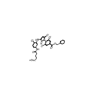 CCCCCCCCCCCCCC(=O)Nc1ccc(Cl)c(Nc2cc(=O)n(-c3c(Cl)cc(C(=O)OCc4ccccc4)cc3Cl)[nH]2)c1